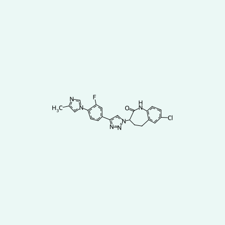 Cc1cn(-c2ccc(-c3cn(C4CCc5cc(Cl)ccc5NC4=O)nn3)cc2F)cn1